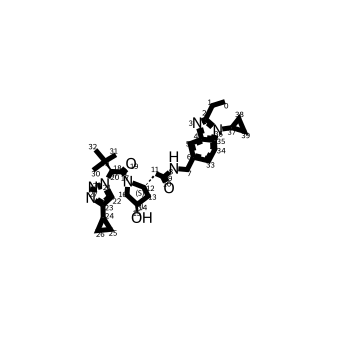 CCc1nc2cc(CNC(=O)C[C@@H]3C[C@@H](O)CN3C(=O)[C@@H](n3cc(C4CC4)nn3)C(C)(C)C)ccc2n1C1CC1